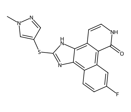 Cn1cc(Sc2nc3c4ccc(F)cc4c4c(=O)[nH]ccc4c3[nH]2)cn1